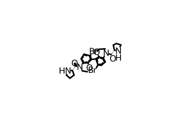 O=C([C@@H]1CCCN1)N1CCOc2c1ccc(Br)c2-c1c(Br)ccc2c1OCCN2C(=O)[C@@H]1CCCN1